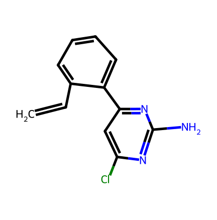 C=Cc1ccccc1-c1cc(Cl)nc(N)n1